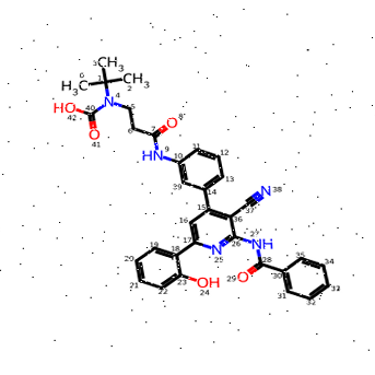 CC(C)(C)N(CCC(=O)Nc1cccc(-c2cc(-c3ccccc3O)nc(NC(=O)c3ccccc3)c2C#N)c1)C(=O)O